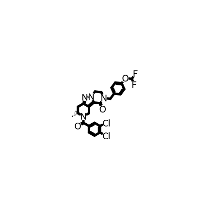 C[C@@H]1Cc2nn3c(c2CN1C(=O)c1ccc(Cl)c(Cl)c1)C(=O)N(Cc1ccc(OC(F)F)cc1)CC3